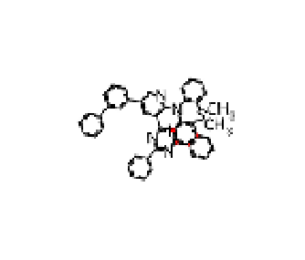 CS1(C)c2ccccc2N(c2ncc(-c3cccc(-c4ccccc4)c3)cc2-c2nc(-c3ccccc3)nc(-c3ccccc3)n2)c2ccccc21